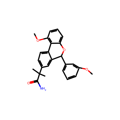 COc1cccc(C2Oc3cccc(OC)c3-c3ccc(C(C)(C)C(N)=O)cc32)c1